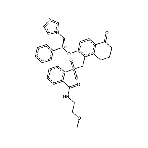 COCCNC(=O)c1ccccc1S(=O)(=O)Cc1c(O[C@H](Cn2ccnc2)c2ccccc2)ccc2c1CCCC2=O